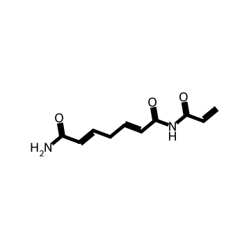 C=CC(=O)NC(=O)C=CCC=CC(N)=O